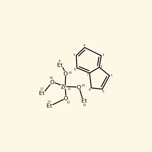 C1=Cc2ccccc2C1.CC[O][Zr]([O]CC)([O]CC)[O]CC